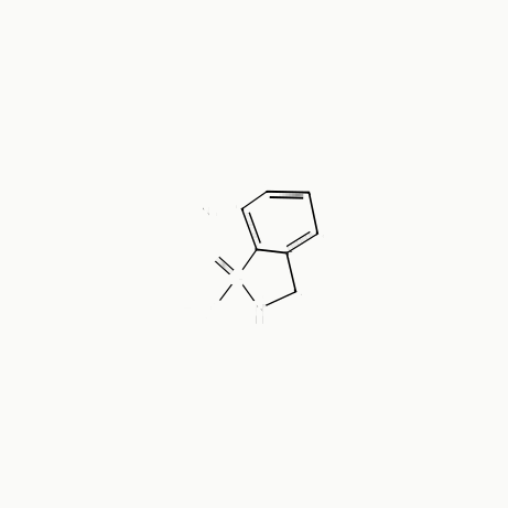 O=C(O)[SH]1(=O)NCc2ccccc21.[NaH]